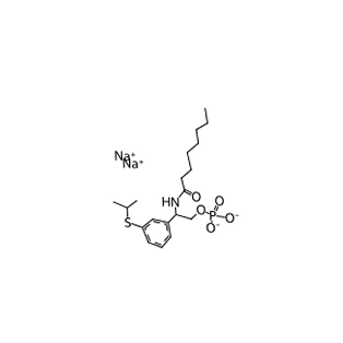 CCCCCCCC(=O)NC(COP(=O)([O-])[O-])c1cccc(SC(C)C)c1.[Na+].[Na+]